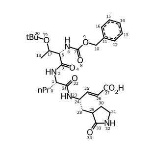 CCC[C@H](NC(=O)[C@@H](NC(=O)OCc1ccccc1)C(C)OC(C)(C)C)C(=O)N[C@H](/C=C/C(=O)O)CC1CCNC1=O